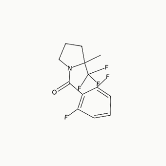 CC1(C(F)(F)F)CCCN1C(=O)c1c(F)cccc1F